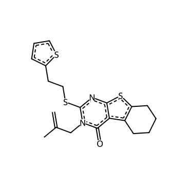 C=C(C)Cn1c(SCCc2cccs2)nc2sc3c(c2c1=O)CCCC3